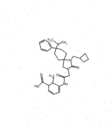 CN1C(NC(=O)CN2CC3(CCC(c4ccccc4)(N(C)C)CC3)N(CC3CCC3)C2=O)=CC=CC1C(=O)O